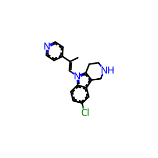 C/C(=C\n1c2c(c3cc(Cl)ccc31)CNCC2)c1ccncc1